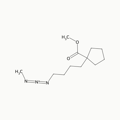 CN=[N+]=NCCCCC1(C(=O)OC)CCCC1